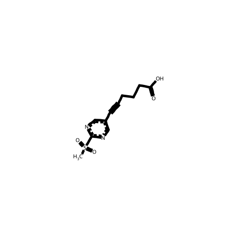 CS(=O)(=O)c1ncc(C#CCCCC(=O)O)cn1